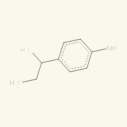 CCC(C)c1ccc([NH])cc1